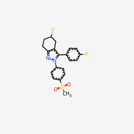 CS(=O)(=O)c1ccc(-n2nc3c(c2-c2ccc(F)cc2)CC(F)CC3)cc1